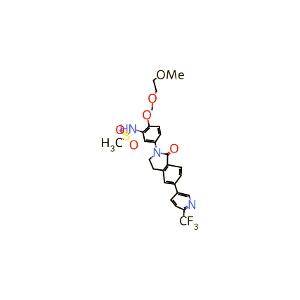 COCCOCOc1ccc(N2CCc3cc(-c4ccc(C(F)(F)F)nc4)ccc3C2=O)cc1NS(C)(=O)=O